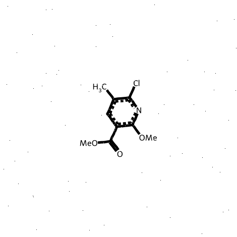 COC(=O)c1cc(C)c(Cl)nc1OC